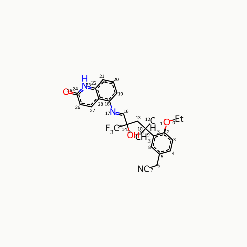 CCOc1ccc(CC#N)cc1C(C)(C)CC(O)(C=Nc1cccc2[nH]c(=O)ccc12)C(F)(F)F